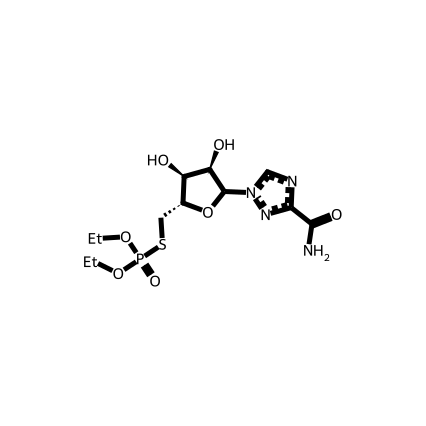 CCOP(=O)(OCC)SC[C@H]1OC(n2cnc(C(N)=O)n2)[C@H](O)[C@@H]1O